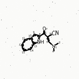 CN(C)C=C(C#N)C(=O)c1cc2ccccc2[nH]1